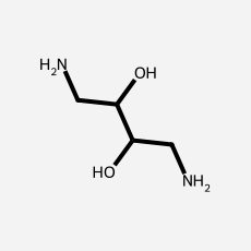 NCC(O)C(O)CN